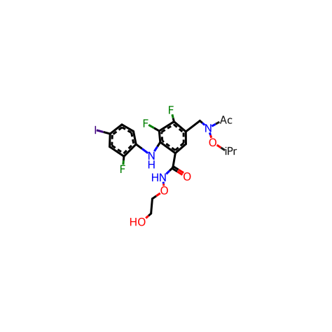 CC(=O)N(Cc1cc(C(=O)NOCCO)c(Nc2ccc(I)cc2F)c(F)c1F)OC(C)C